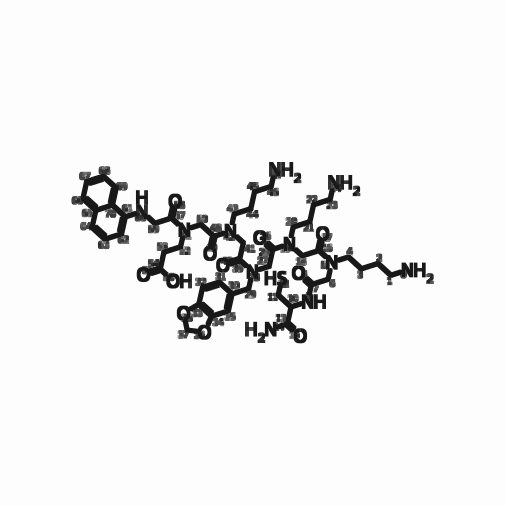 NCCCCN(CC(=O)NC(CS)C(N)=O)C(=O)CN(CCCCN)C(=O)CN(Cc1ccc2c(c1)OCO2)C(=O)CN(CCCCN)C(=O)CN(CCC(=O)O)C(=O)CNc1cccc2ccccc12